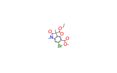 CCOC(=O)C1(C)C(=O)N(C)c2cc(Br)c(C(=O)OC)cc21